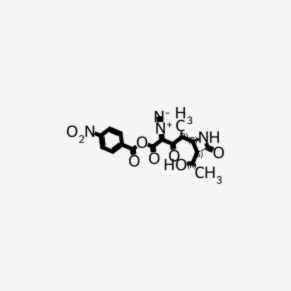 C[C@@H](O)[C@H]1C(=O)N[C@@H]1[C@@H](C)C(=O)C(=[N+]=[N-])C(=O)OC(=O)c1ccc([N+](=O)[O-])cc1